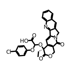 CC[C@@]1(OC(Oc2ccc(Cl)cc2)C(=O)O)C(=O)OCc2c1cc1n(c2=O)Cc2cc3ccccc3nc2-1